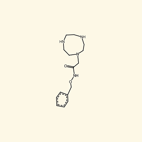 O=C(CN1CCNCCNCC1)NOCc1ccccc1